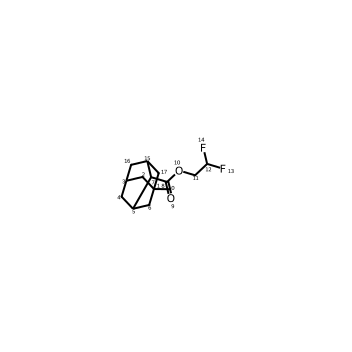 CC12CC3CC(C1)C(C(=O)OCC(F)F)C(C3)C2